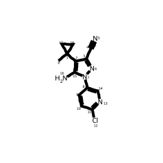 CC1(c2c(C#N)nn(-c3ccc(Cl)nc3)c2N)CC1